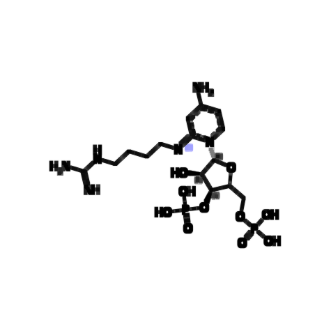 N=C(N)NCCCC/N=c1\cc(N)ccn1[C@@H]1OC(COP(=O)(O)O)[C@@H](OP(=O)(O)O)[C@H]1O